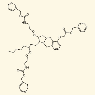 CCCCCC(CCC1C(OOCCNC(=O)OCc2ccccc2)CC2Cc3c(cccc3OCC(=O)OCc3ccccc3)CC21)OOCCNC(=O)OCc1ccccc1